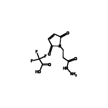 NNC(=O)CCN1C(=O)C=CC1=O.O=C(O)C(F)(F)F